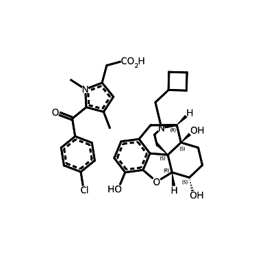 Cc1cc(CC(=O)O)n(C)c1C(=O)c1ccc(Cl)cc1.Oc1ccc2c3c1O[C@H]1[C@@H](O)CC[C@@]4(O)[C@@H](C2)N(CC2CCC2)CC[C@]314